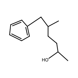 CC(O)CCC(C)Cc1ccccc1